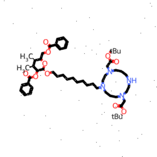 C[C@@H]1C(COC(=O)c2ccccc2)O[C@@H](OCCCCCCCCCCN2CCCN(CC(=O)OC(C)(C)C)CCNCCCN(CC(=O)OC(C)(C)C)CC2)C(OC(=O)c2ccccc2)[C@H]1C